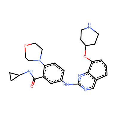 O=C(NC1CC1)c1cc(Nc2ncc3cccc(OC4CCNCC4)c3n2)ccc1N1CCOCC1